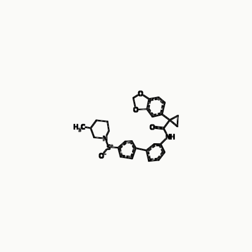 CC1CCCN([S+]([O-])c2ccc(-c3cccc(NC(=O)C4(c5ccc6c(c5)OCO6)CC4)c3)cc2)C1